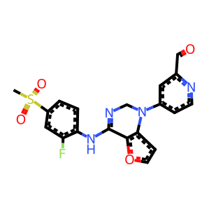 CS(=O)(=O)c1ccc(NC2=NCN(c3ccnc(C=O)c3)c3ccoc32)c(F)c1